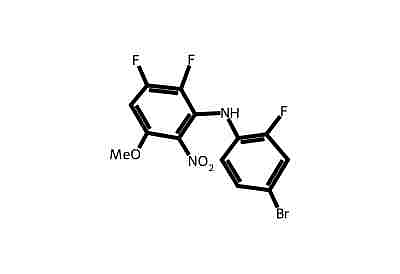 COc1cc(F)c(F)c(Nc2ccc(Br)cc2F)c1[N+](=O)[O-]